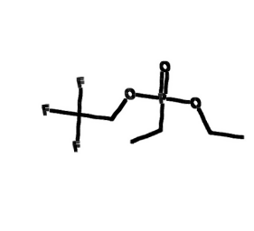 CCOP(=O)(CC)OCC(F)(F)F